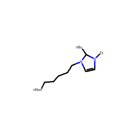 CCCCCCCCCCCCCCN1C=CN(CC)C1CCCC